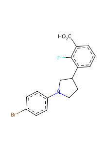 O=C(O)c1cccc(C2CCN(c3ccc(Br)cc3)C2)c1F